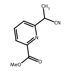 COC(=O)c1cccc(C(C)C#N)n1